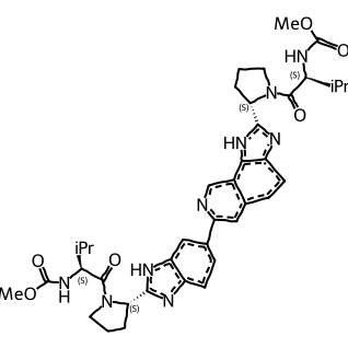 COC(=O)N[C@H](C(=O)N1CCC[C@H]1c1nc2ccc(-c3cc4ccc5nc([C@@H]6CCCN6C(=O)[C@@H](NC(=O)OC)C(C)C)[nH]c5c4cn3)cc2[nH]1)C(C)C